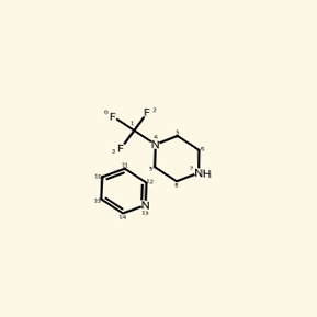 FC(F)(F)N1CCNCC1.c1ccncc1